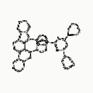 c1ccc(-c2cc(-c3ccccc3)nc(-c3ccc(-n4c5ccccc5c5ccc6c7ccccc7nc(-c7ccccc7)c6c54)cc3)n2)cc1